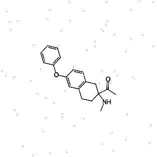 CNC1(C(C)=O)CCc2cc(Oc3ccccc3)ccc2C1